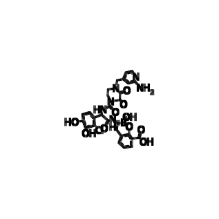 Nc1cc(CN2CCN(C(=O)NC(C(=O)N[C@H]3Cc4cccc(C(=O)O)c4OB3O)c3ccc(O)c(O)c3Cl)C(=O)C2=O)ccn1